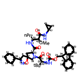 CCC[C@H](NC(=O)[C@@H]1CC2(CC(c3ccccc3)=NO2)CN1C(=O)[C@@H](NC(=O)OCC1c2ccccc2-c2ccccc21)C(C)(C)C)C(OC)C(=O)NC1CC1